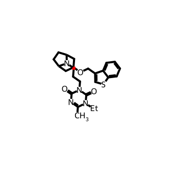 CCn1c(C)nc(=O)n(CCCN2C3CCC2CC(OCc2csc4ccccc24)C3)c1=O